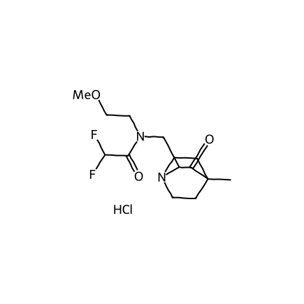 COCCN(CC1C(=O)C2(C)CCN1CC2)C(=O)C(F)F.Cl